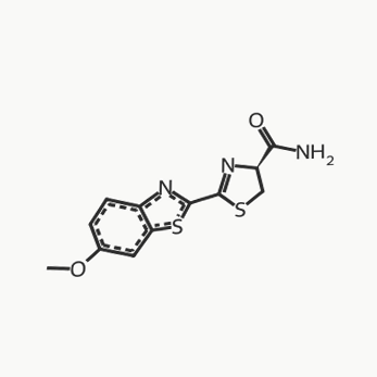 COc1ccc2nc(C3=N[C@@H](C(N)=O)CS3)sc2c1